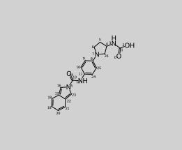 O=C(O)NC1CCN(c2ccc(NC(=O)n3cc4ccccc4c3)cc2)C1